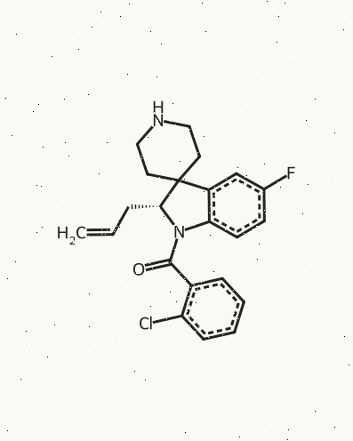 C=CC[C@H]1N(C(=O)c2ccccc2Cl)c2ccc(F)cc2C12CCNCC2